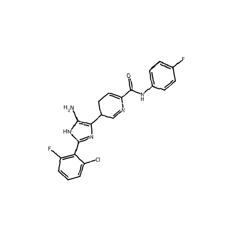 Nc1[nH]c(-c2c(F)cccc2Cl)nc1C1C=NC(C(=O)Nc2ccc(F)cc2)=CC1